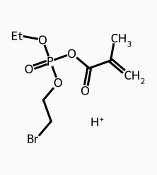 C=C(C)C(=O)OP(=O)(OCC)OCCBr.[H+]